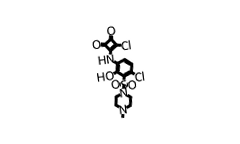 CN1CCN(S(=O)(=O)c2c(Cl)ccc(Nc3c(Cl)c(=O)c3=O)c2O)CC1